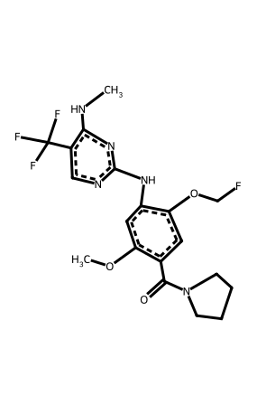 CNc1nc(Nc2cc(OC)c(C(=O)N3CCCC3)cc2OCF)ncc1C(F)(F)F